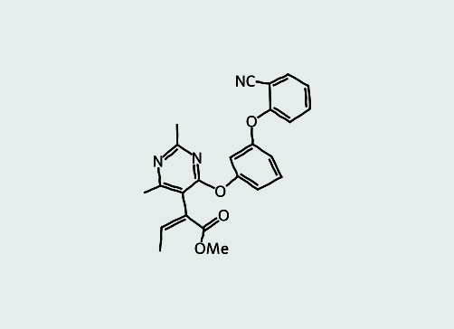 CC=C(C(=O)OC)c1c(C)nc(C)nc1Oc1cccc(Oc2ccccc2C#N)c1